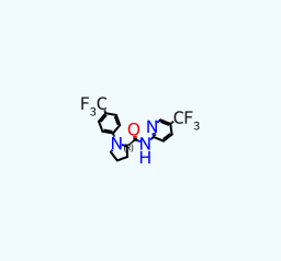 O=C(Nc1ccc(C(F)(F)F)cn1)[C@H]1CCCN1c1ccc(C(F)(F)F)cc1